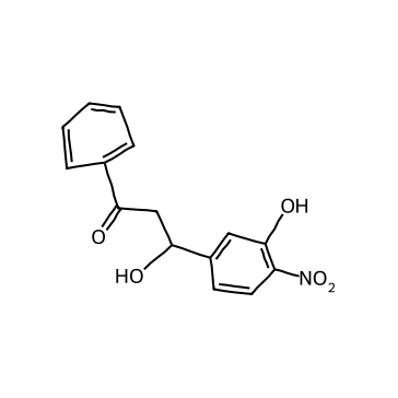 O=C(CC(O)c1ccc([N+](=O)[O-])c(O)c1)c1ccccc1